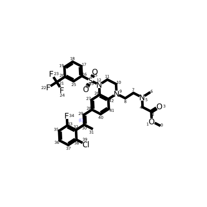 COC(=O)CN(C)CCN1CCN(S(=O)(=O)c2cccc(C(F)(F)F)c2)c2cc(/C=C(\C)c3c(F)cccc3Cl)ccc21